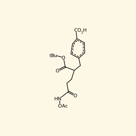 CC(=O)ONC(=O)CCC(Cc1ccc(C(=O)O)cc1)C(=O)OC(C)(C)C